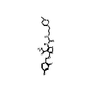 CN1CCN(CCCNC(=O)Nc2snc(OCc3ccc(Br)cc3F)c2C(N)=O)CC1